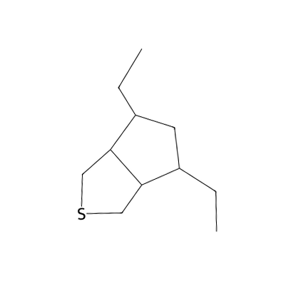 CCC1CC(CC)C2CSCC12